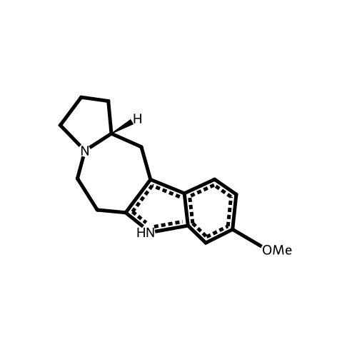 COc1ccc2c3c([nH]c2c1)CCN1CCC[C@@H]1C3